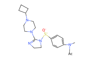 CC(=O)N(C)c1ccc([S+]([O-])N2CCN=C2N2CCN(C3CCC3)CC2)cc1